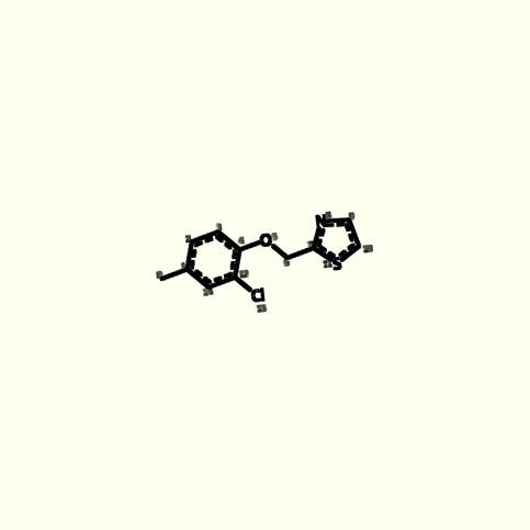 Cc1ccc(OCc2nccs2)c(Cl)c1